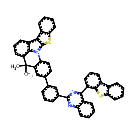 CC1(C)c2cc(-c3cccc(-c4nc(-c5cccc6c5sc5ccccc56)c5ccccc5n4)c3)ccc2-n2c3sc4ccccc4c3c3cccc1c32